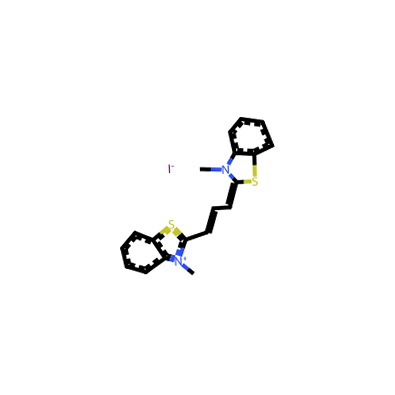 CN1C(=CC=Cc2sc3ccccc3[n+]2C)Sc2ccccc21.[I-]